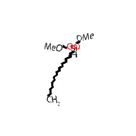 C=CCCCCCCCCCCCCCCCCC[SiH](OCCOC)OCCOC